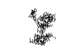 N=C(N)NCCC[C@@H]1NC(=O)[C@H](CCCCNC(=O)CC[C@H](NC(=O)COCCOCCOCCNC(=O)CCC2=[N+]3B(F)n4c(ccc4-c4ccccc4)C=C3C=C2)C(=O)NCCCC[C@@H]2NC(=O)[C@@H](Cc3ccc(O)cc3)NC(=O)[C@H](CC(=O)O)NC(=O)CNC(=O)[C@H](CCCNC(=N)N)NC2=O)NC(=O)[C@@H](Cc2ccc(O)cc2)NC(=O)[C@H](CC(=O)O)NC(=O)CNC1=O